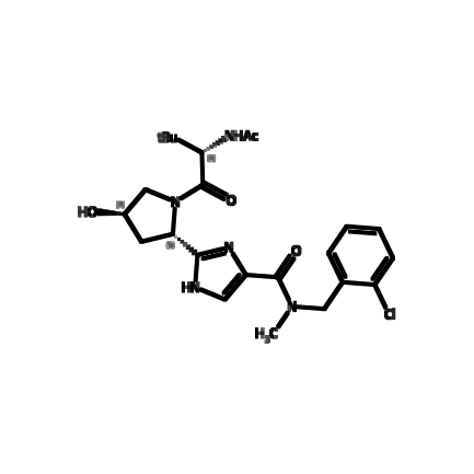 CC(=O)N[C@H](C(=O)N1C[C@H](O)C[C@H]1c1nc(C(=O)N(C)Cc2ccccc2Cl)c[nH]1)C(C)(C)C